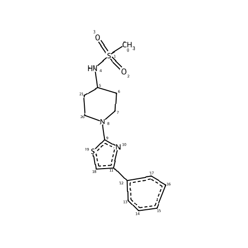 CS(=O)(=O)NC1CCN(c2nc(-c3ccccc3)cs2)CC1